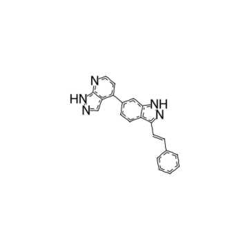 C(=C\c1n[nH]c2cc(-c3ccnc4[nH]ncc34)ccc12)/c1ccccc1